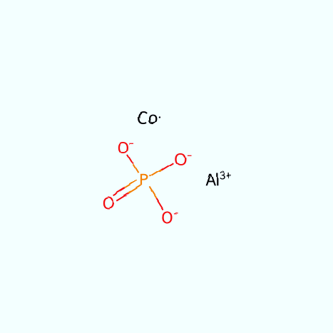 O=P([O-])([O-])[O-].[Al+3].[Co]